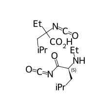 CCC(CC(C)C)(N=C=O)C(=O)O.CCN[C@@H](CC(C)C)C(=O)N=C=O